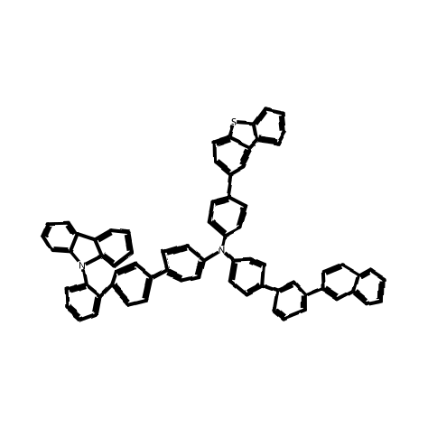 c1cc(-c2ccc(N(c3ccc(-c4ccc(-c5ccccc5-n5c6ccccc6c6ccccc65)cc4)cc3)c3ccc(-c4ccc5sc6ccccc6c5c4)cc3)cc2)cc(-c2ccc3ccccc3c2)c1